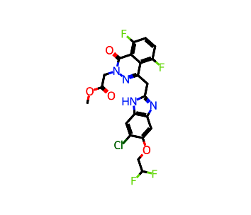 COC(=O)Cn1nc(Cc2nc3cc(OCC(F)F)c(Cl)cc3[nH]2)c2c(F)ccc(F)c2c1=O